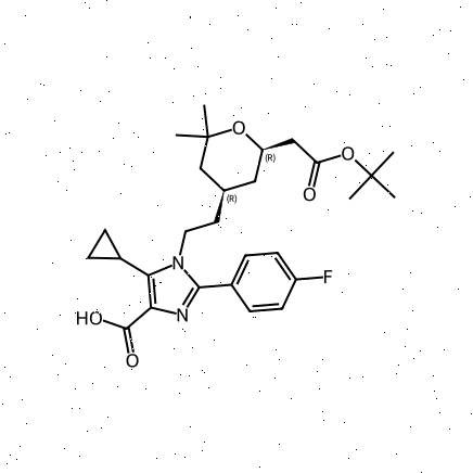 CC(C)(C)OC(=O)C[C@H]1C[C@@H](CCn2c(-c3ccc(F)cc3)nc(C(=O)O)c2C2CC2)CC(C)(C)O1